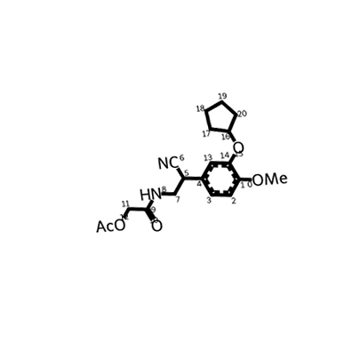 COc1ccc(C(C#N)CNC(=O)COC(C)=O)cc1OC1CCCC1